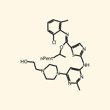 CCCCCC(C)O/C(=N\c1c(C)cccc1Cl)c1cnc(Nc2cc(N3CCN(CCO)CC3)nc(C)n2)s1